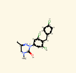 CC(=O)N1CC(C)=NN(c2cc(Cl)c(Cc3ccc(Cl)cc3)c(Cl)c2)C1=O